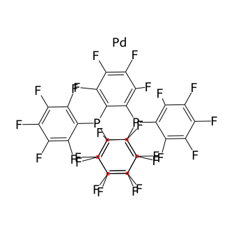 Fc1c(F)c(F)c(P(c2c(F)c(F)c(F)c(F)c2F)c2c(F)c(F)c(F)c(F)c2P(c2c(F)c(F)c(F)c(F)c2F)c2c(F)c(F)c(F)c(F)c2F)c(F)c1F.[Pd]